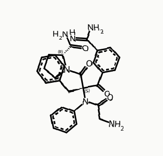 N=C(N)c1cccc(C(=O)[C@@](Cc2ccccc2)(C(=O)N2CCC[C@@H]2C(N)=O)N(C(=O)CN)c2ccccc2)c1